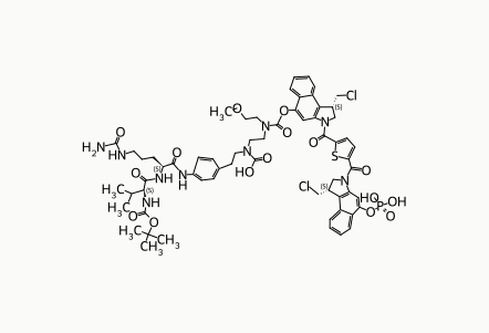 COCCN(CCN(CCc1ccc(NC(=O)[C@H](CCCNC(N)=O)NC(=O)[C@@H](NC(=O)OC(C)(C)C)C(C)C)cc1)C(=O)O)C(=O)Oc1cc2c(c3ccccc13)[C@H](CCl)CN2C(=O)c1ccc(C(=O)N2C[C@@H](CCl)c3c2cc(OP(=O)(O)O)c2ccccc32)s1